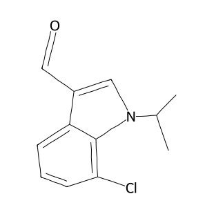 CC(C)n1cc(C=O)c2cccc(Cl)c21